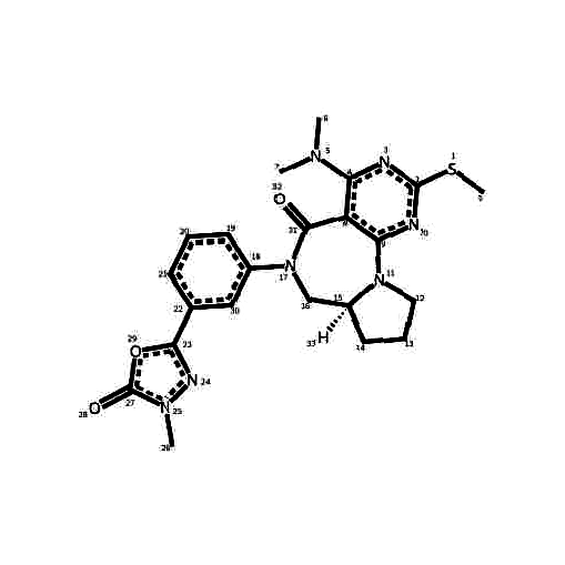 CSc1nc(N(C)C)c2c(n1)N1CCC[C@H]1CN(c1cccc(-c3nn(C)c(=O)o3)c1)C2=O